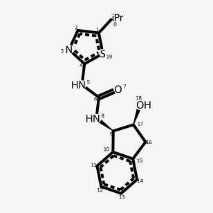 CC(C)c1cnc(NC(=O)N[C@@H]2c3ccccc3C[C@@H]2O)s1